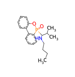 CCCCNC(C(C)C)P1(=O)Oc2ccccc2-c2ccccc21